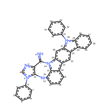 N=C(c1ncn(-c2ccccc2)c1N)n1c2ccccc2c2cc3c4ccccc4n(-c4ccccc4)c3cc21